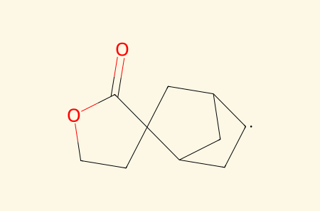 O=C1OCCC12CC1[CH]CC2C1